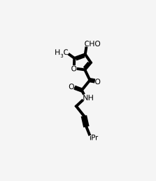 Cc1oc(C(=O)C(=O)NCC#CC(C)C)cc1C=O